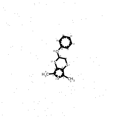 Cc1sc(C)c2c1SCC(Oc1ccccc1)S2